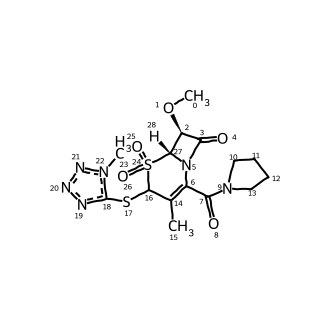 CO[C@H]1C(=O)N2C(C(=O)N3CCCC3)=C(C)C(Sc3nnnn3C)S(=O)(=O)[C@H]12